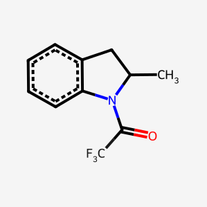 CC1Cc2ccccc2N1C(=O)C(F)(F)F